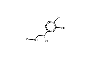 CC(C)(C)NC[C@@H](O)c1ccc(O)c(O)c1